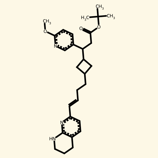 COc1ccc(C(CC(=O)OC(C)(C)C)C2CC(CCC=Cc3ccc4c(n3)NCCC4)C2)cn1